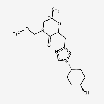 COCN1C[C@@H](C)OC(Cc2cn([C@H]3CC[C@H](C)CC3)cn2)C1=O